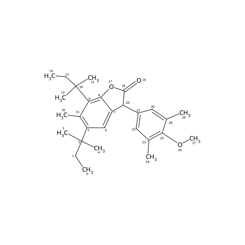 CCC(C)(C)c1cc2c(c(C(C)(C)CC)c1C)OC(=O)C2c1cc(C)c(OC)c(C)c1